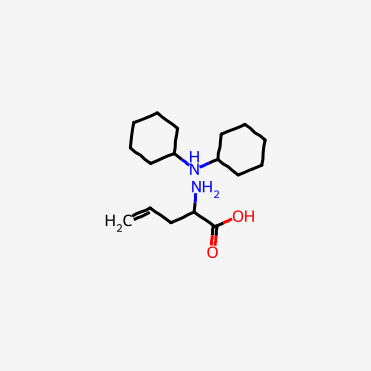 C1CCC(NC2CCCCC2)CC1.C=CCC(N)C(=O)O